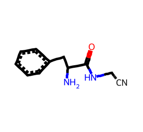 N#CCNC(=O)C(N)Cc1ccccc1